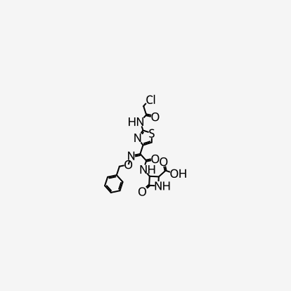 O=C(CCl)Nc1nc(C(=NOCc2ccccc2)C(=O)NC2C(=O)NC2C(=O)O)cs1